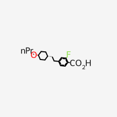 CCCO[C@H]1CC[C@H](CCc2ccc(C(=O)O)c(F)c2)CC1